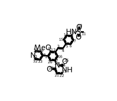 COc1c(/C=C/c2ccc(NS(C)(=O)=O)cc2)cc(-n2c(=O)cc[nH]c2=O)cc1-c1ccncc1